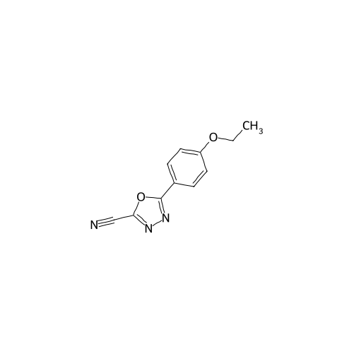 CCOc1ccc(-c2nnc(C#N)o2)cc1